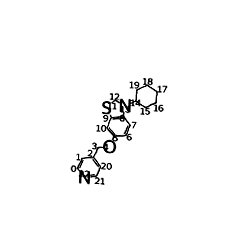 c1cc(COc2ccc3c(c2)SCN3C2CCCCC2)ccn1